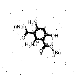 CCCCCCCCCC(=O)c1c(N)cc(O)c(C(=O)OC(C)(C)C)c1N